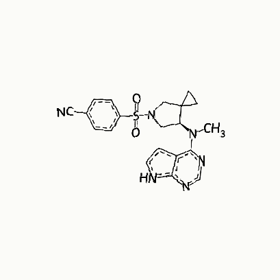 CN(c1ncnc2[nH]ccc12)[C@H]1CN(S(=O)(=O)c2ccc(C#N)cc2)CC12CC2